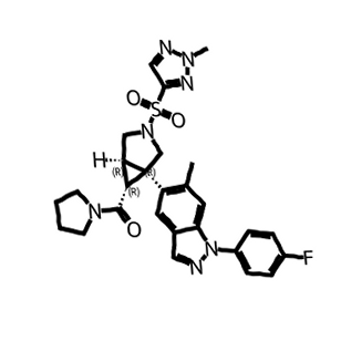 Cc1cc2c(cnn2-c2ccc(F)cc2)cc1[C@@]12CN(S(=O)(=O)c3cnn(C)n3)C[C@@H]1[C@H]2C(=O)N1CCCC1